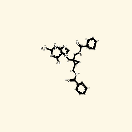 Nc1nc(Cl)c2c(ncn2CC2(COC(=O)c3ccccc3)CC2COC(=O)c2ccccc2)n1